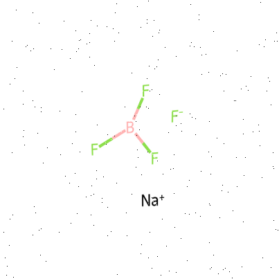 FB(F)F.[F-].[Na+]